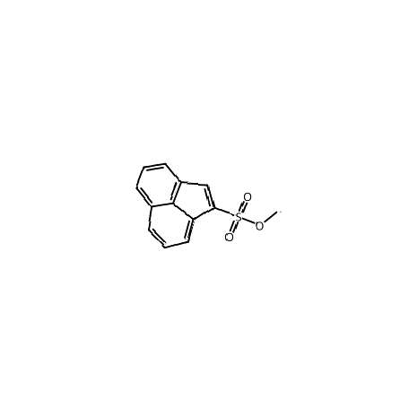 [CH2]OS(=O)(=O)C1=Cc2cccc3cccc1c23